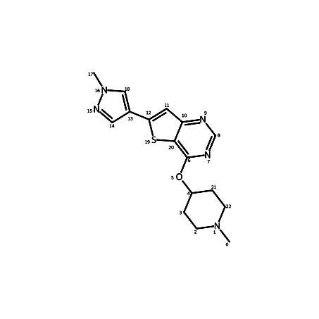 CN1CCC(Oc2ncnc3cc(-c4cnn(C)c4)sc23)CC1